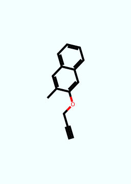 C#CCOc1cc2ccccc2cc1C